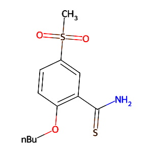 CCCCOc1ccc(S(C)(=O)=O)cc1C(N)=S